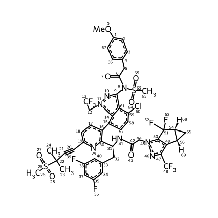 COc1ccc(CC(=O)N(c2nn(CC(F)(F)F)c3c(-c4ccc(C#CC(C)(C)S(C)(=O)=O)nc4[C@H](Cc4cc(F)cc(F)c4)NC(=O)Cn4nc(C(F)(F)F)c5c4C(F)(F)[C@@H]4C[C@H]54)ccc(Cl)c23)S(C)(=O)=O)cc1